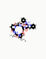 C[C@H]1C[C@H]2C(=O)OC[C@H](NC(=O)[C@H](Cc3ccccc3)NC(=O)Nc3ccccc3)C(=O)N3CSC[C@H]3C(=O)N3CCCC[C@H]3C(=O)N[C@@H](C)C(=O)N2C1